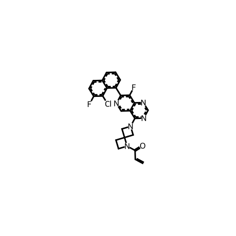 C=CC(=O)N1CCC12CN(c1ncnc3c(F)c(-c4cccc5ccc(F)c(Cl)c45)ncc13)C2